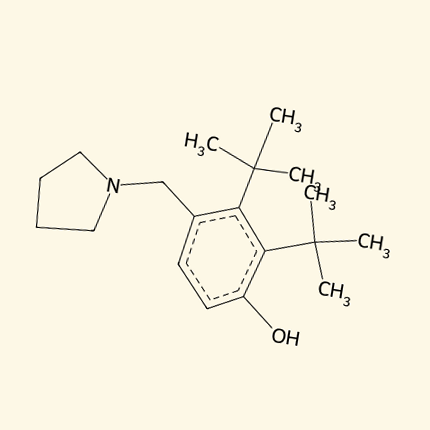 CC(C)(C)c1c(O)ccc(CN2CCCC2)c1C(C)(C)C